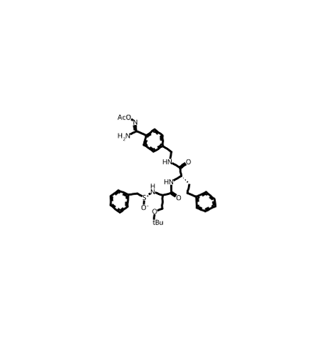 CC(=O)O/N=C(\N)c1ccc(CNC(=O)[C@H](CCc2ccccc2)NC(=O)C(COC(C)(C)C)N[S+]([O-])Cc2ccccc2)cc1